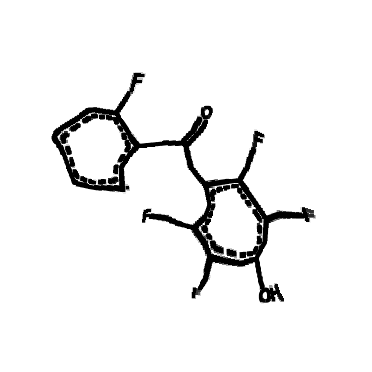 O=C(c1[c]cccc1F)c1c(F)c(F)c(O)c(F)c1F